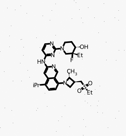 CC[C@@]1(F)CN(c2nccc(Nc3cc4c(C(C)C)ccc(N5C[C@H](CS(=O)(=O)CC)[C@H]5C)c4cn3)n2)CC[C@@H]1O